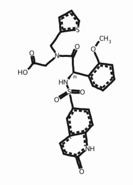 COc1ccccc1[C@@H](NS(=O)(=O)c1ccc2[nH]c(=O)ccc2c1)C(=O)N(CC(=O)O)Cc1cccs1